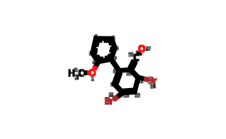 COc1ccccc1C1=CC(Br)=CC(Br)C1=C=O